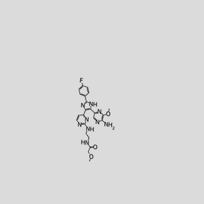 COCC(=O)NCCNc1nccc(-c2nc(-c3ccc(F)cc3)[nH]c2-c2cnc(N)c(OC)n2)n1